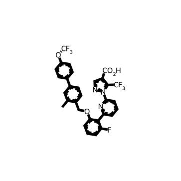 Cc1cc(-c2ccc(OC(F)(F)F)cc2)ccc1COc1cccc(F)c1-c1cccc(-n2ncc(C(=O)O)c2C(F)(F)F)n1